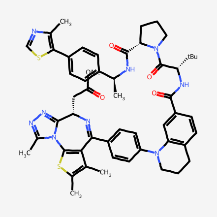 COC(=O)C[C@@H]1N=C(c2ccc(N3CCCc4ccc(C(=O)N[C@H](C(=O)N5CCC[C@H]5C(=O)N[C@@H](C)c5ccc(-c6scnc6C)cc5)C(C)(C)C)cc43)cc2)c2c(sc(C)c2C)-n2c(C)nnc21